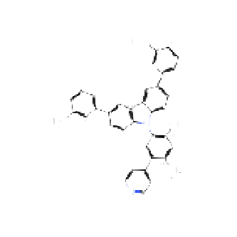 Cc1cccc(-c2ccc3c(c2)c2cc(-c4cccc(C)c4)ccc2n3-c2cc(-c3ccncc3)c(C#N)cc2C)c1